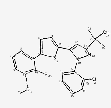 COc1cccc(-c2ccc(-c3cc(C(C)(C)O)nn3-c3ccccc3Cl)s2)c1F